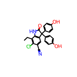 CCc1c(Cl)c(C#N)cc2c1NC(=O)C2(c1ccc(O)cc1)c1ccc(O)cc1